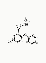 CNC1CC1c1cc(Cl)ccc1Oc1ccccc1